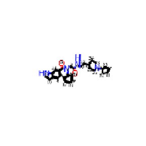 O=C(CN(C(=O)c1ccc2cc[nH]c2c1)c1ccccc1)NCCC1CCN(C2CCCC2)CC1